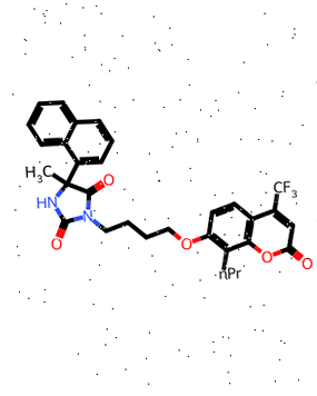 CCCc1c(OCCCCN2C(=O)NC(C)(c3cccc4ccccc34)C2=O)ccc2c(C(F)(F)F)cc(=O)oc12